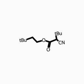 CC(C)(C)CCOC(=O)C(C#N)C(C)(C)C